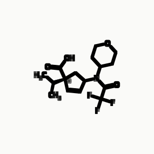 CC(C)[C@]1(C(=O)O)C=CC(N(C(=O)C(F)(F)F)C2CCOCC2)C1